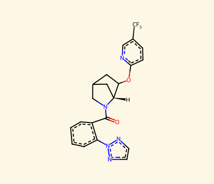 O=C(c1ccccc1-n1nccn1)N1CC2CC(Oc3ccc(C(F)(F)F)cn3)[C@H]1C2